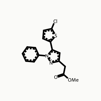 COC(=O)Cc1cc(-c2ccc(Cl)s2)n(-c2ccccc2)n1